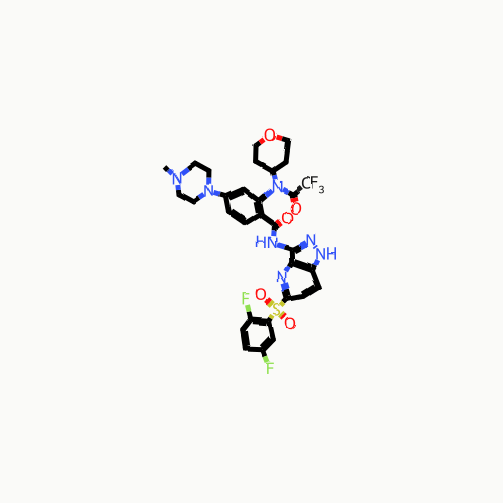 CN1CCN(c2ccc(C(=O)Nc3n[nH]c4ccc(S(=O)(=O)c5cc(F)ccc5F)nc34)c(N(C(=O)C(F)(F)F)C3CCOCC3)c2)CC1